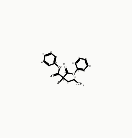 CCCC(F)(C(=O)Oc1ccccc1)C(=O)Oc1ccccc1